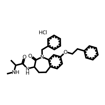 CNC(C)C(=O)NC1CCc2ccc(OCCc3ccccc3)cc2N(Cc2ccccc2)C1=O.Cl